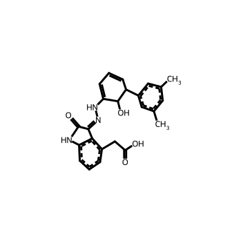 Cc1cc(C)cc(C2C=CC=C(NN=C3C(=O)Nc4cccc(CC(=O)O)c43)C2O)c1